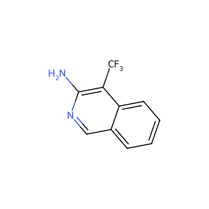 Nc1ncc2ccccc2c1C(F)(F)F